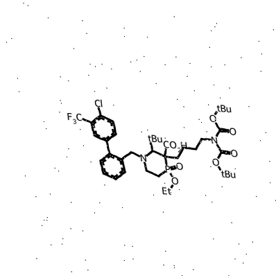 CCOP1(=O)CCN(Cc2ccccc2-c2ccc(Cl)c(C(F)(F)F)c2)C(C(C)(C)C)C1(CCCCN(C(=O)OC(C)(C)C)C(=O)OC(C)(C)C)C(=O)O